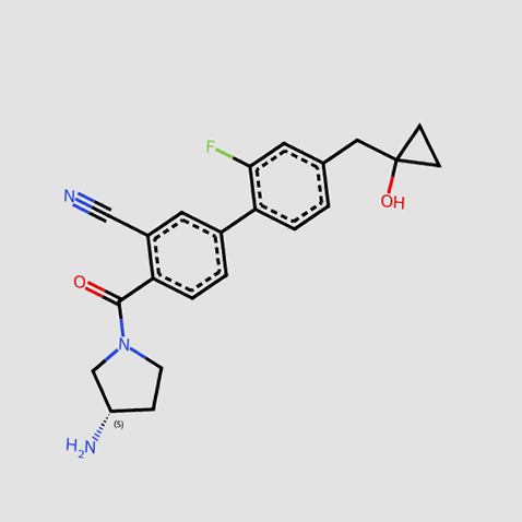 N#Cc1cc(-c2ccc(CC3(O)CC3)cc2F)ccc1C(=O)N1CC[C@H](N)C1